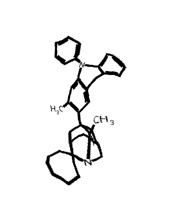 Cc1cc2c(cc1C13CC4CC(C1)C1(CCCCC1)N(C4)[C@@H]3C)c1ccccc1n2-c1ccccc1